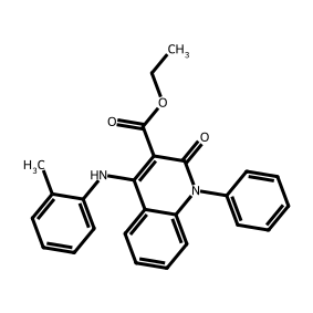 CCOC(=O)c1c(Nc2ccccc2C)c2ccccc2n(-c2ccccc2)c1=O